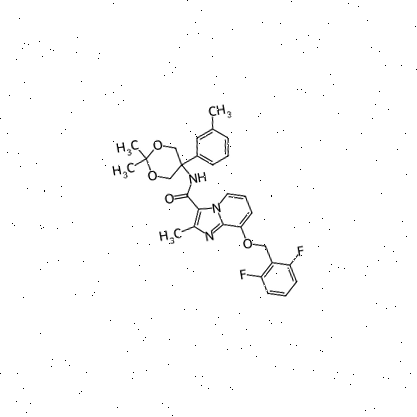 Cc1cccc(C2(NC(=O)c3c(C)nc4c(OCc5c(F)cccc5F)cccn34)COC(C)(C)OC2)c1